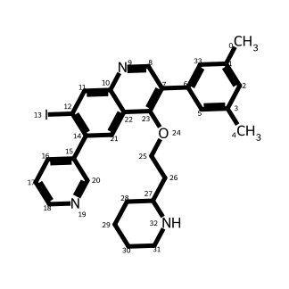 Cc1cc(C)cc(-c2cnc3cc(I)c(-c4cccnc4)cc3c2OCCC2CCCCN2)c1